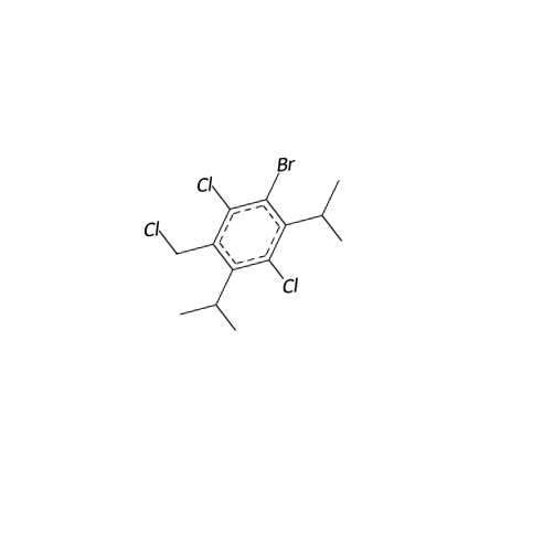 CC(C)c1c(Cl)c(C(C)C)c(CCl)c(Cl)c1Br